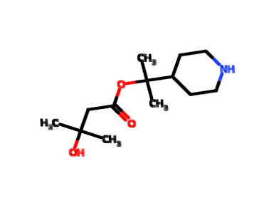 CC(C)(O)CC(=O)OC(C)(C)C1CCNCC1